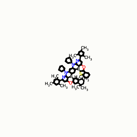 Cc1cc(C)c(-c2cc3c4c(n2)N(c2ccccc2)c2cc5c(cc2B4c2cc4c(cc2O3)C(C)(C)CCC4(C)C)B2c3sc4ccccc4c3Oc3cc(-c4c(C)cc(C)cc4C)nc(c32)N5c2ccccc2)c(C)c1